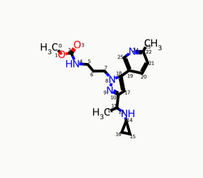 COC(=O)NCCCn1nc(C(C)NC2CC2)cc1-c1ccc(C)nc1